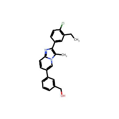 CCc1cc(-c2nc3ccc(-c4cccc(CO)c4)cn3c2C)ccc1Cl